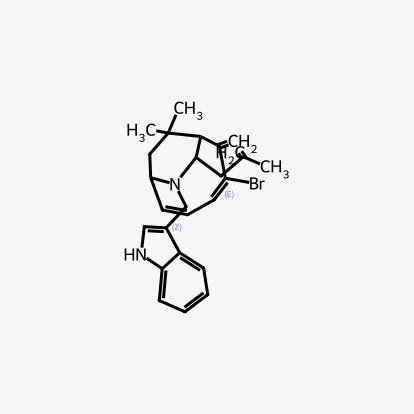 C=C(C)CC1C2C(=C)/C(Br)=C\C=C/C(CC2(C)C)N1Cc1c[nH]c2ccccc12